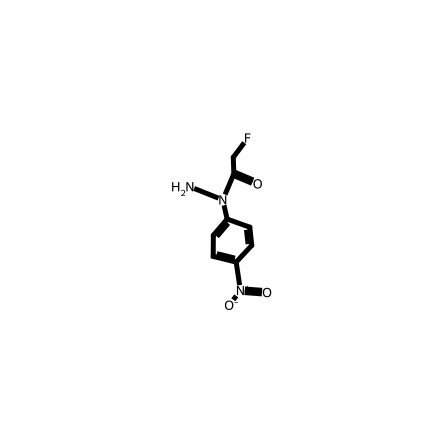 NN(C(=O)CF)c1ccc([N+](=O)[O-])cc1